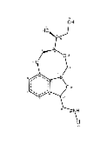 OC[C@H](O)[C@@H]1COc2cccc3c2B(CO1)OC3CNCl